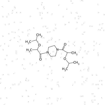 CC(C)OC(C)C(=O)N1CCN(C(=O)C(C)OC(C)C)CC1